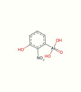 O=[N+]([O-])c1c(O)cccc1[As](=O)(O)O